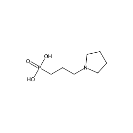 O=P(O)(O)CCCN1CCCC1